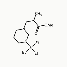 CC[Si](CC)(CC)N1CCCN(CC(C)C(=O)OC)C1